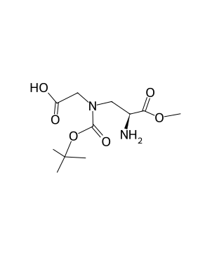 COC(=O)[C@@H](N)CN(CC(=O)O)C(=O)OC(C)(C)C